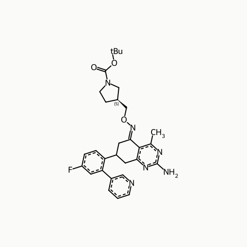 Cc1nc(N)nc2c1C(=NOC[C@H]1CCN(C(=O)OC(C)(C)C)C1)CC(c1ccc(F)cc1-c1cccnc1)C2